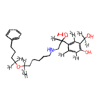 [2H]c1c([2H])c(C([2H])(O)CNCCCCCC([2H])([2H])OC([2H])([2H])CCCc2ccccc2)c([2H])c(C([2H])([2H])O)c1O